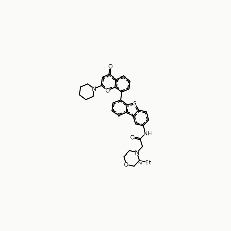 CC[C@H]1COCCN1CC(=O)Nc1ccc2sc3c(-c4cccc5c(=O)cc(N6CCCCC6)oc45)cccc3c2c1